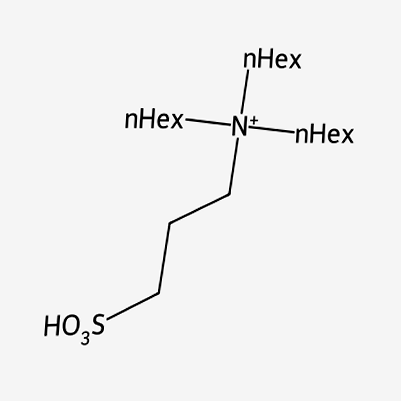 CCCCCC[N+](CCCCCC)(CCCCCC)CCCS(=O)(=O)O